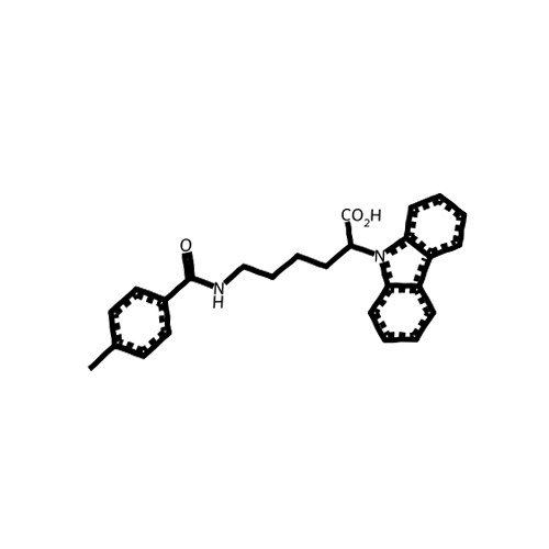 Cc1ccc(C(=O)NCCCCC(C(=O)O)n2c3ccccc3c3ccccc32)cc1